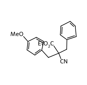 CCOC(=O)C(C#N)(Cc1ccccc1)Cc1ccc(OC)cc1